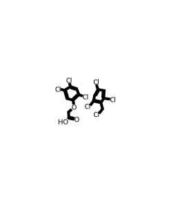 ClCc1c(Cl)cc(Cl)cc1Cl.O=C(O)COc1cc(Cl)c(Cl)cc1Cl